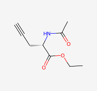 C#CC[C@H](NC(C)=O)C(=O)OCC